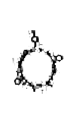 CC[C@H](C)[C@@H]1NC(=O)[C@H](CC(C)C)N(C)C(=O)C[C@@H](C(=O)N2CCCCC2)N(C)C(=O)[C@H](C(C)C)N(C)C(=O)C(C)(C)NC(=O)[C@@H]2CCCN2C(=O)[C@H](CCc2ccc(C(F)(F)F)c(F)c2)NC(=O)CN(C)C(=O)[C@H](CC2CCCCC2)N(C)C(=O)CN(C)C(=O)CN(C)C1=O